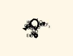 CCOc1nnc(O[C@@H]2C[C@H]3C(=O)N[C@]4(C(=O)NS(=O)(=O)C5CC5)C[C@H]4/C=C\CC[C@@H](C)C[C@@H](C)[C@H](NC(=O)OC(C)(C)C(F)(F)F)C(=O)N3C2)c2ccccc12